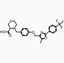 Cc1oc(-c2ccc(C(F)(F)F)cc2)nc1COc1ccc(CN2CCSCC2C(=O)O)cc1